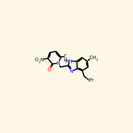 Cc1cc(CC(C)C)c2nc(Cn3c(C)ccc([N+](=O)[O-])c3=O)[nH]c2c1